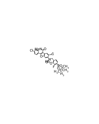 CNC(=O)c1c(-c2ccc(Cl)cc2)oc2cc(N(Cc3ccc(B4OC(C)(C)C(C)(C)O4)c(F)c3)[SH](=O)=O)c(C3CC3)cc12